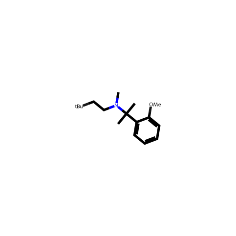 COc1ccccc1C(C)(C)N(C)CCC(C)(C)C